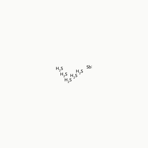 S.S.S.S.S.[Sb]